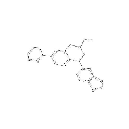 CCN1Cc2cc(-c3cccnn3)ccc2C(c2ccc3sccc3c2)C1